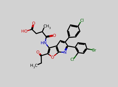 CCC(=O)c1oc2nc(-c3ccc(Br)cc3Cl)c(-c3ccc(Cl)cc3)cc2c1NC(=O)C(C)CC(=O)O